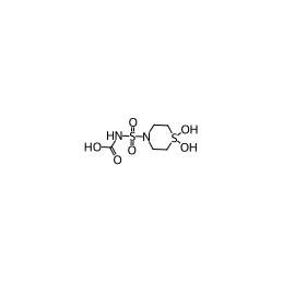 O=C(O)NS(=O)(=O)N1CCS(O)(O)CC1